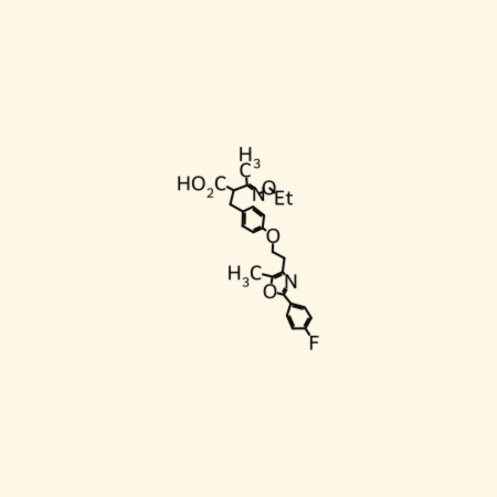 CCON=C(C)C(Cc1ccc(OCCc2nc(-c3ccc(F)cc3)oc2C)cc1)C(=O)O